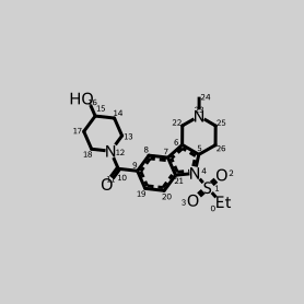 CCS(=O)(=O)n1c2c(c3cc(C(=O)N4CCC(O)CC4)ccc31)CN(C)CC2